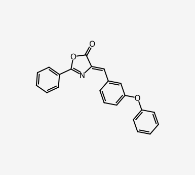 O=C1OC(c2ccccc2)=NC1=Cc1cccc(Oc2ccccc2)c1